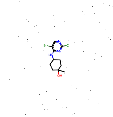 CC1(O)CCC(Nc2nc(Cl)ncc2Br)CC1